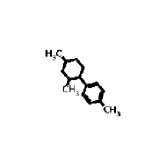 Cc1ccc(C2CCC(C)CC2C)cc1